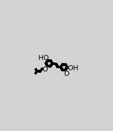 COc1cc(C=Cc2cc(O)cc(OCC=C(C)C)c2)ccc1O